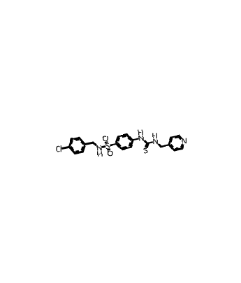 O=S(=O)(NCc1ccc(Cl)cc1)c1ccc(NC(=S)NCc2ccncc2)cc1